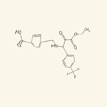 CCOC(=O)C(=O)C(NCc1ccc(C(=O)O)cc1)c1ccc(C(F)(F)F)cc1